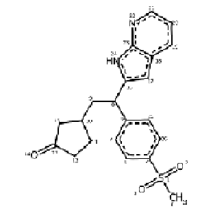 CS(=O)(=O)c1ccc(C(CC2CCC(=O)C2)c2cc3cccnc3[nH]2)cc1